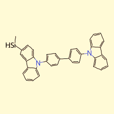 C[SiH](C)c1ccc2c(c1)c1ccccc1n2-c1ccc(-c2ccc(-n3c4ccccc4c4ccccc43)cc2)cc1